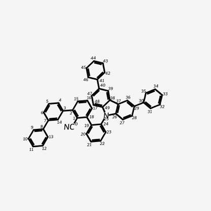 N#Cc1c(-c2cccc(-c3ccccc3)c2)cccc1-c1ccccc1-n1c2ccc(-c3ccccc3)cc2c2cc(-c3ccccc3)ccc21